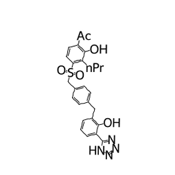 CCCc1c(S(=O)(=O)Cc2ccc(Cc3cccc(-c4nnn[nH]4)c3O)cc2)ccc(C(C)=O)c1O